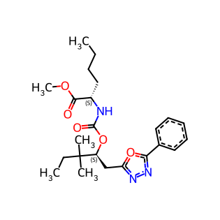 CCCC[C@H](NC(=O)O[C@@H](Cc1nnc(-c2ccccc2)o1)C(C)(C)CC)C(=O)OC